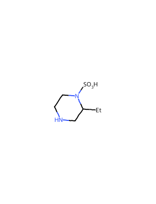 CCC1CNCCN1S(=O)(=O)O